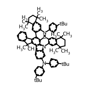 CC(C)(C)c1ccc(N2B3c4cc5c(cc4-n4c6cc(N(c7ccc(C(C)(C)C)cc7)c7ccc(C(C)(C)C)cc7)ccc6c6c7c(c(c3c64)-c3cc4c(cc32)C(C)(C)CCC4(C)C)-c2ccccc2C7(C)C)C(C)(C)CCC5(C)C)cc1